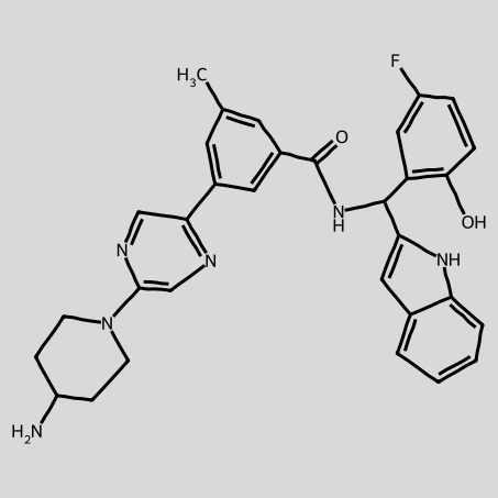 Cc1cc(C(=O)NC(c2cc3ccccc3[nH]2)c2cc(F)ccc2O)cc(-c2cnc(N3CCC(N)CC3)cn2)c1